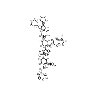 CCc1ccccc1[C@@H]1CCCN1C1CC2(CCN(c3ccc(C(=O)NS(=O)(=O)c4ccc(NC[C@H]5COCCO5)c([N+](=O)[O-])c4)c(Oc4cnc5[nH]ccc5c4)c3)CC2)C1